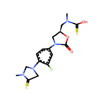 CN(C[C@@H]1CN(c2ccc(N3CC(=S)N(C)C3)c(F)c2)C(=O)O1)C(O)=S